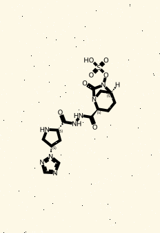 O=C(NNC(=O)[C@@H]1CC[C@H]2CN1C(=O)N2OS(=O)(=O)O)[C@@H]1C[C@H](n2cncn2)CN1